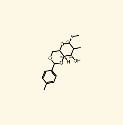 CS[C@@H]1OC2COC(c3ccc(C)cc3)O[C@H]2[C@H](O)C1C